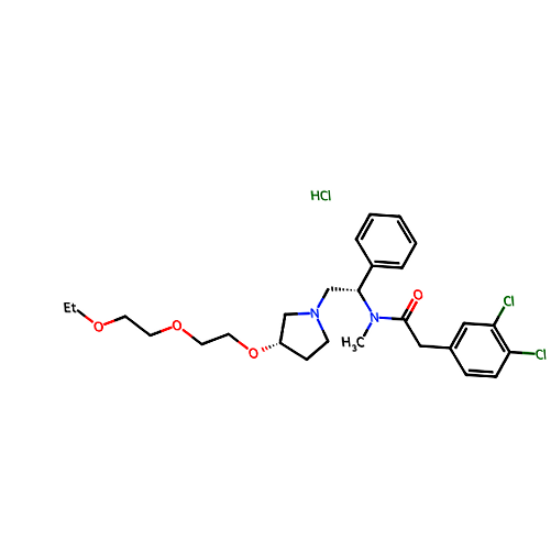 CCOCCOCCO[C@H]1CCN(C[C@H](c2ccccc2)N(C)C(=O)Cc2ccc(Cl)c(Cl)c2)C1.Cl